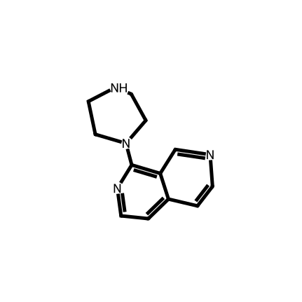 c1cc2ccnc(N3CCNCC3)c2cn1